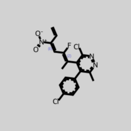 C=C/C(=C\C(F)=C(/C)c1c(Cl)nnc(C)c1-c1ccc(Cl)cc1)[N+](=O)[O-]